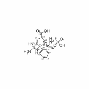 CS(=O)(=O)O.N=C(N)NC1(c2ccccc2S(N)(=O)=O)C=CC(C(=O)O)C=C1